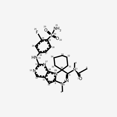 CC(=O)N(C)C1=NN(C)c2cc3cnc(Nc4ccc(S(N)(=O)=O)c(F)c4)nc3n2C12CCCCC2